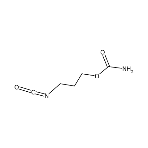 NC(=O)OCCCN=C=O